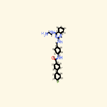 NCCNc1nc(NCc2ccc(NC(=O)c3ccc(-c4ccc(F)cc4)cc3)cc2)nc2ccccc12